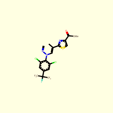 C=NN(/C=C(\C)c1nc(C(=O)OC)cs1)c1c(Cl)cc(C(F)(C(F)(F)F)C(F)(F)F)cc1Cl